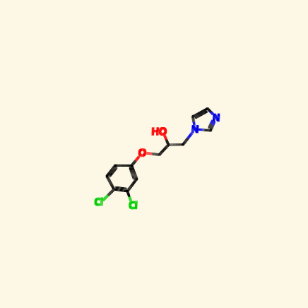 OC(COc1ccc(Cl)c(Cl)c1)Cn1ccnc1